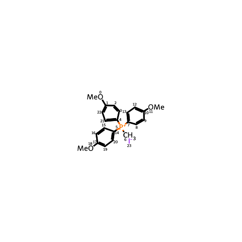 COc1ccc([P+](C)(c2ccc(OC)cc2)c2ccc(OC)cc2)cc1.[I-]